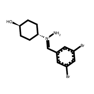 N[N+](=Cc1cc(Br)cc(Br)c1)[C@H]1CC[C@H](O)CC1